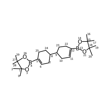 CC1(C)OB(C2=CCC(C3CC=C(B4OC(C)(C)C(C)(C)O4)CC3)CC2)OC1(C)C